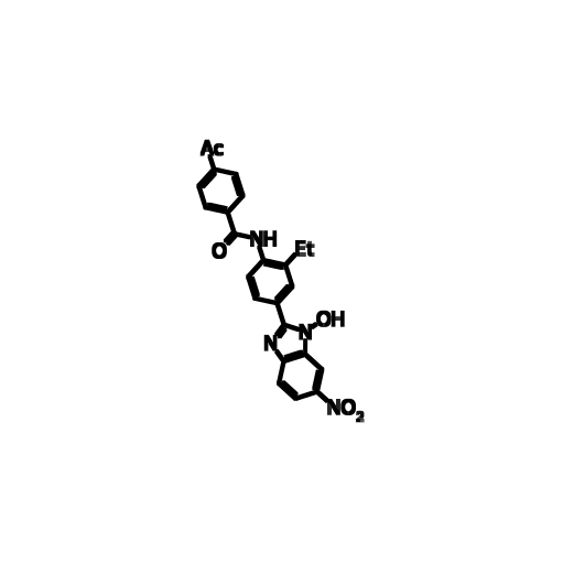 CCc1cc(-c2nc3ccc([N+](=O)[O-])cc3n2O)ccc1NC(=O)c1ccc(C(C)=O)cc1